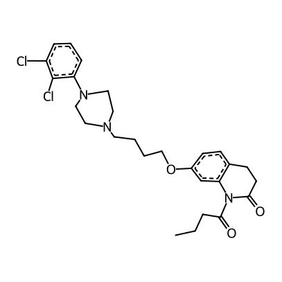 CCCC(=O)N1C(=O)CCc2ccc(OCCCCN3CCN(c4cccc(Cl)c4Cl)CC3)cc21